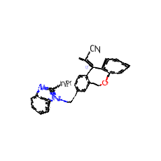 CCCc1nc2ccccc2n1Cc1ccc2c(c1)COc1ccccc1/C2=C(/C)C#N